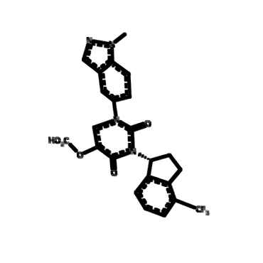 Cn1ncc2cc(-n3cc(OC(=O)O)c(=O)n([C@@H]4CCc5c4cccc5C(F)(F)F)c3=O)ccc21